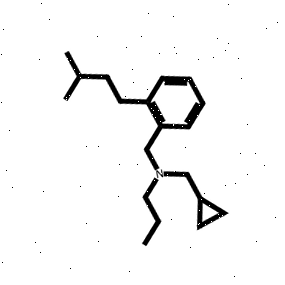 CCCN(Cc1ccc[c]c1CCC(C)C)CC1CC1